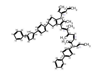 C=C/C=C(\C=C)n1c(C)c(/C=C(\C)C(=C)/C=C\C(=C)N(/C=C/C)c2ccc(-c3ccccc3)cc2)c2c1C=CC(c1ccc(-c3ccc(-c4ccccc4)s3)cc1)C2